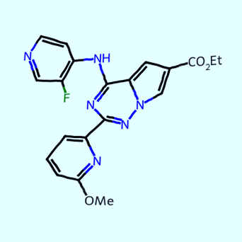 CCOC(=O)c1cc2c(Nc3ccncc3F)nc(-c3cccc(OC)n3)nn2c1